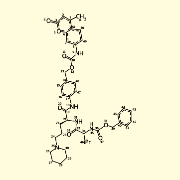 Cc1cc(=O)oc2cc(NC(=O)OCc3ccc(NC(=O)[C@H](CCCN4CCCCC4)NC(=O)[C@@H](NC(=O)OCc4ccccc4)C(C)C)cc3)ccc12